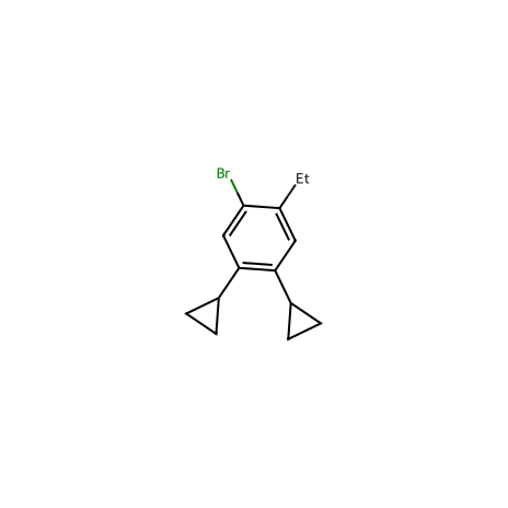 CCc1cc(C2CC2)c(C2CC2)cc1Br